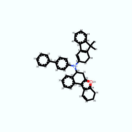 CC1(C)C2=C(C=C(N(c3ccc(-c4ccccc4)cc3)C3Cc4oc5c(c4-c4ccccc43)C=CCC5)CC2)c2ccccc21